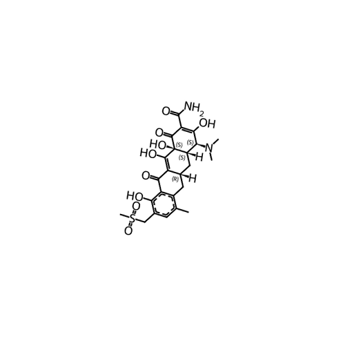 Cc1cc(CS(C)(=O)=O)c(O)c2c1C[C@H]1C[C@H]3[C@H](N(C)C)C(O)=C(C(N)=O)C(=O)[C@@]3(O)C(O)=C1C2=O